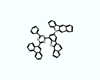 c1ccc(-c2nc(-c3cc4ccccc4c4ccccc34)nc(-c3cc(-n4c5ccccc5c5cc6ccccc6cc54)cc4c3oc3c5ccccc5ccc43)n2)cc1